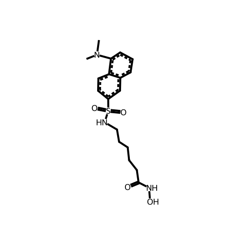 CN(C)c1cccc2cc(S(=O)(=O)NCCCCCC(=O)NO)ccc12